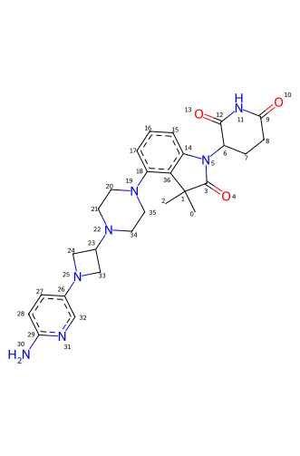 CC1(C)C(=O)N(C2CCC(=O)NC2=O)c2cccc(N3CCN(C4CN(c5ccc(N)nc5)C4)CC3)c21